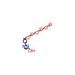 COCCOCCOCCOCCOCCOC[C@]1(C)CC=C(c2nccc(CO)n2)CC1